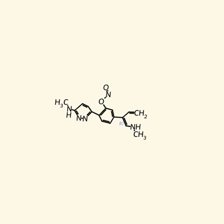 C=C/C(=C\NC)c1ccc(-c2ccc(NC)nn2)c(ON=O)c1